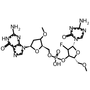 COC[C@H]1O[C@@H](n2cnc(N)nc2=O)C(F)C1OP(=O)(O)OC[C@H]1O[C@@H](n2cnc3c(=O)[nH]c(N)nc32)CC1OC